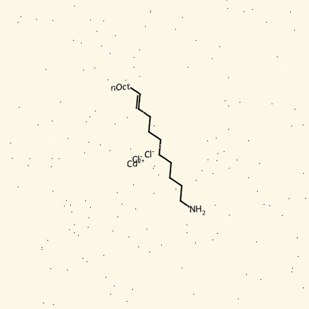 CCCCCCCCC=CCCCCCCCCN.[Cd+2].[Cl-].[Cl-]